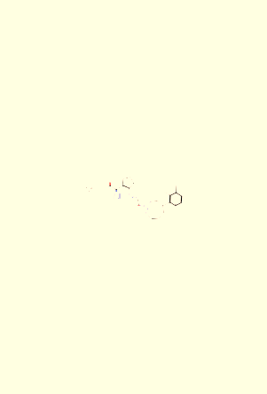 COC(=O)C(=N)C1=C(NCC(=O)N2CCCCC(c3cccc(C)c3C)CC2)CCC1